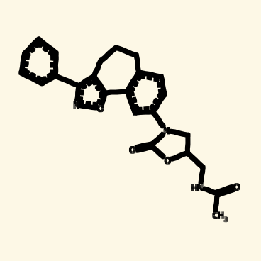 CC(=O)NCC1CN(c2ccc3c(c2)-c2onc(-c4ccccc4)c2CCC3)C(=O)O1